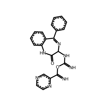 N=C(NC1N=C(c2ccccc2)c2ccccc2NC1=O)OC(=N)c1cnccn1